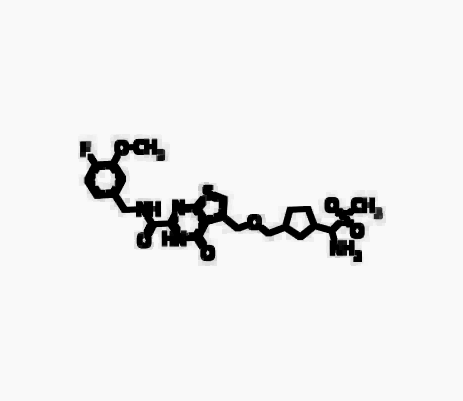 COc1cc(CNC(=O)c2nc3scc(COCC4CCC(C(N)S(C)(=O)=O)C4)c3c(=O)[nH]2)ccc1F